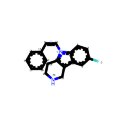 Fc1ccc2c(c1)c1c(n2/C=C\c2ccccc2)CCNC1